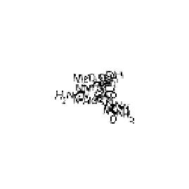 CO[C@H]1[C@H](n2cnc3c(N)ncnc32)OC(C)(COP(O)(=S)[C@H]2[C@H](n3cnc4c(=O)[nH]c(N)nc43)O[C@H](CO)C2(F)F)[C@H]1O[PH](O)=S